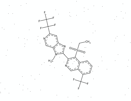 CCS(=O)(=O)c1c(-c2nc3cc(C(F)(F)C(F)(F)F)ncc3n2C)ncc2c(C(F)(F)F)cccc12